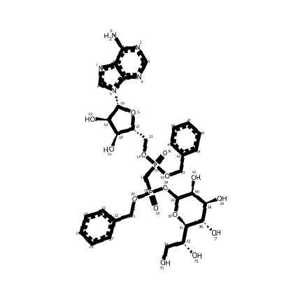 Nc1ncnc2c1ncn2[C@@H]1O[C@H](COP(=O)(CP(=O)(OCc2ccccc2)OC2O[C@H]([C@H](O)CO)[C@@H](O)[C@H](O)[C@@H]2O)OCc2ccccc2)[C@@H](O)[C@H]1O